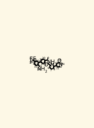 C[C@@H](NC(=O)c1cccc(-c2ccn(C)c(=O)c2)n1)c1ccc(-c2cc(C(F)(F)F)ccc2CN)cc1